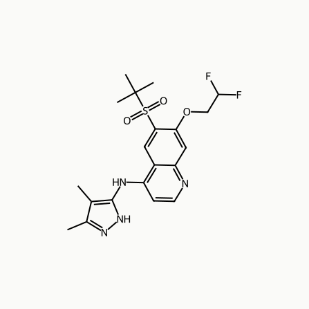 Cc1n[nH]c(Nc2ccnc3cc(OCC(F)F)c(S(=O)(=O)C(C)(C)C)cc23)c1C